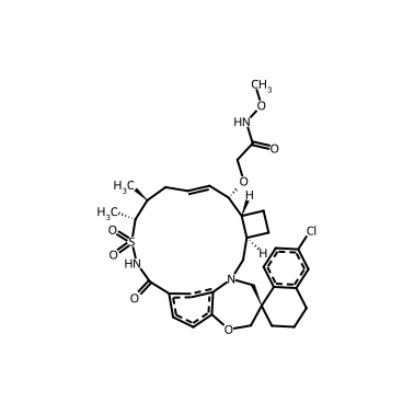 CONC(=O)CO[C@H]1/C=C/C[C@H](C)[C@@H](C)S(=O)(=O)NC(=O)c2ccc3c(c2)N(C[C@@H]2CC[C@H]21)C[C@@]1(CCCc2cc(Cl)ccc21)CO3